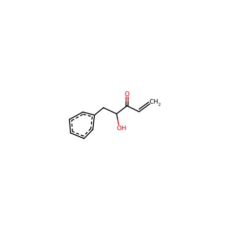 C=CC(=O)C(O)Cc1ccccc1